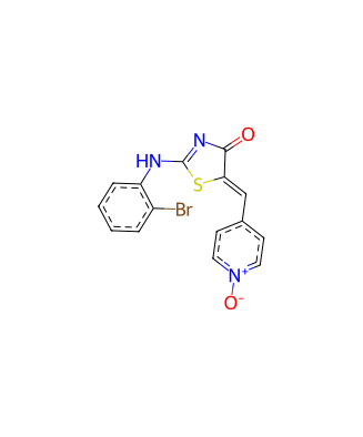 O=C1N=C(Nc2ccccc2Br)SC1=Cc1cc[n+]([O-])cc1